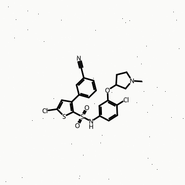 CN1CCC(Oc2cc(NS(=O)(=O)c3sc(Cl)cc3-c3cccc(C#N)c3)ccc2Cl)C1